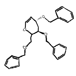 C1=C[C@H](OCc2ccccc2)[C@@H](OCc2ccccc2)C(COCc2ccccc2)O1